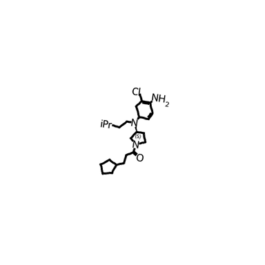 CC(C)CCN(C1C=CC(N)=C(Cl)C1)[C@H]1CCN(C(=O)CCC2CCCC2)C1